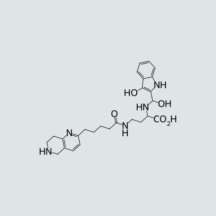 O=C(CCCCc1ccc2c(n1)CCNC2)NCCC(NC(O)c1[nH]c2ccccc2c1O)C(=O)O